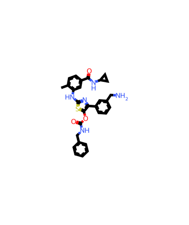 Cc1ccc(C(=O)NC2CC2)cc1Nc1nc(-c2cccc(CN)c2)c(OC(=O)NCc2ccccc2)s1